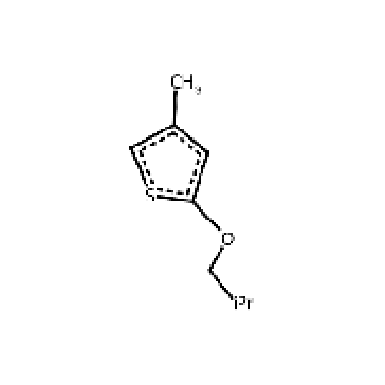 Cc1csc(OCC(C)C)c1